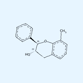 Cc1cccc2c1O[C@H](c1ccccc1)[C@@H](O)C2